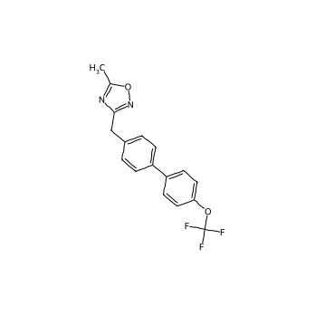 Cc1nc(Cc2ccc(-c3ccc(OC(F)(F)F)cc3)cc2)no1